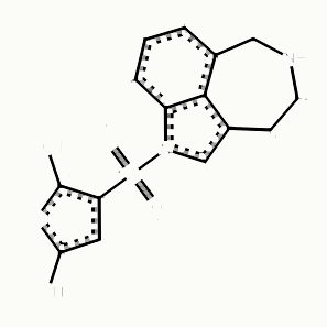 Cc1cc(S(=O)(=O)n2cc3c4c(cccc42)CNCC3)c(C)s1